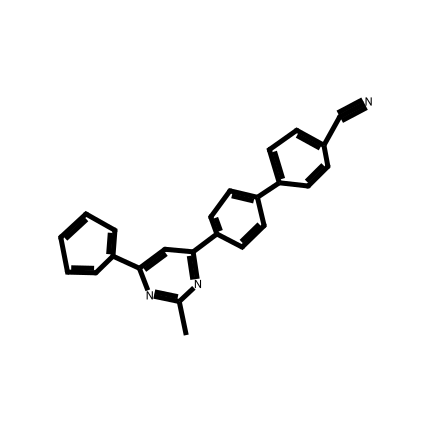 Cc1nc(-c2ccccc2)cc(-c2ccc(-c3ccc(C#N)cc3)cc2)n1